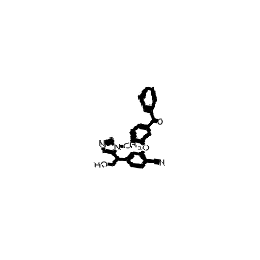 Cn1cncc1C(CO)c1ccc(C#N)c(Oc2cccc(C(=O)c3ccccc3)c2)c1